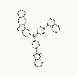 c1ccc2cc3c(cc2c1)oc1ccc(N(c2ccc(-c4nc5ccccc5o4)cc2)c2ccc(-c4cccc5ccccc45)cc2)cc13